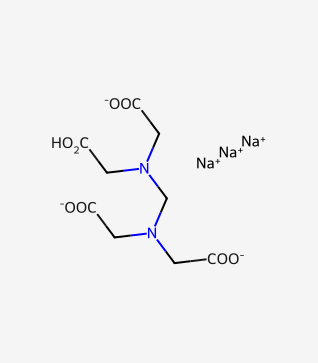 O=C([O-])CN(CC(=O)[O-])CN(CC(=O)[O-])CC(=O)O.[Na+].[Na+].[Na+]